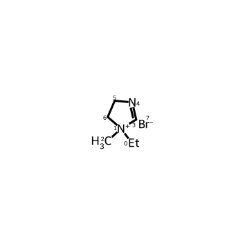 CC[N+]1(C)C=NCC1.[Br-]